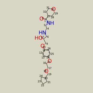 O=C(NCCNCC(O)COc1ccc(OCCOCC2CCCC2)cc1)C1CCOCC1